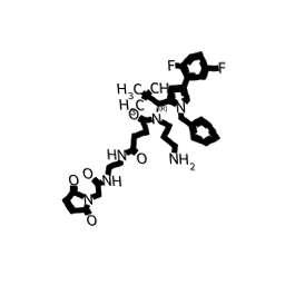 CC(C)(C)[C@H](c1cc(-c2cc(F)ccc2F)cn1Cc1ccccc1)N(CCCN)C(=O)CCC(=O)NCCNC(=O)CN1C(=O)C=CC1=O